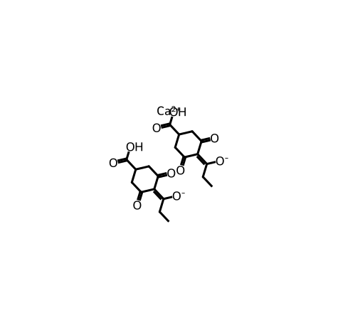 CCC([O-])=C1C(=O)CC(C(=O)O)CC1=O.CCC([O-])=C1C(=O)CC(C(=O)O)CC1=O.[Ca+2]